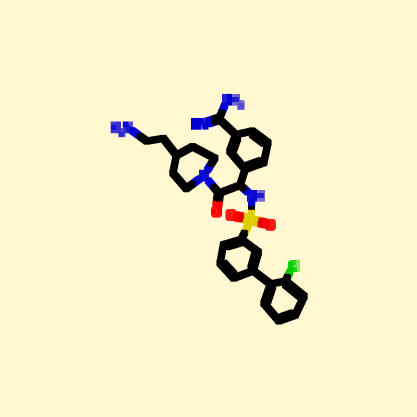 N=C(N)c1cccc(C(NS(=O)(=O)c2cccc(-c3ccccc3Cl)c2)C(=O)N2CCC(CCN)CC2)c1